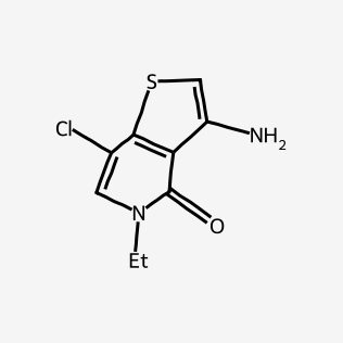 CCn1cc(Cl)c2scc(N)c2c1=O